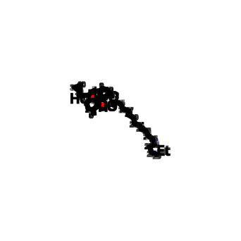 C=C1CC[C@@]2(O)C3Cc4ccc(OC(=O)CCCCCCCC=CC/C=C\C/C=C\CC)c5c4[C@@]2(CCN3CC2CC2)[C@H]1O5